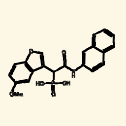 COc1ccc2occ(C(C(=O)Nc3ccc4ccccc4c3)P(=O)(O)O)c2c1